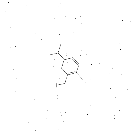 CC1=C(CI)CC(C(C)C)C=C1